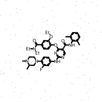 CCOc1cc(C(=O)N(CC)CC)ccc1Oc1nc(Nc2ccc(N3CCN(C)C(C)C3)c(F)c2)ncc1C(=O)Nc1c(C)cccc1C